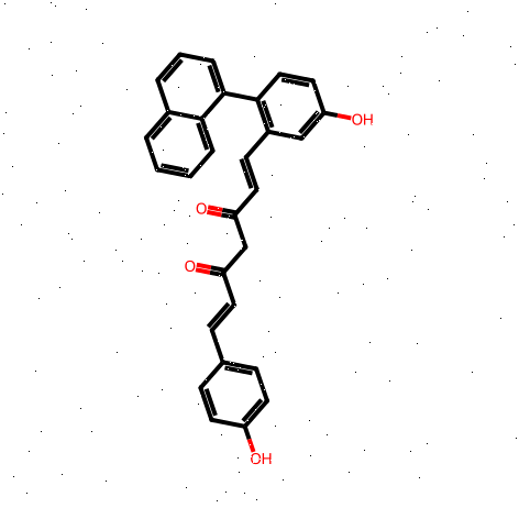 O=C(C=Cc1ccc(O)cc1)CC(=O)C=Cc1cc(O)ccc1-c1cccc2ccccc12